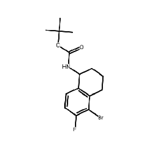 CC(C)(C)OC(=O)NC1CCCc2c1ccc(F)c2Br